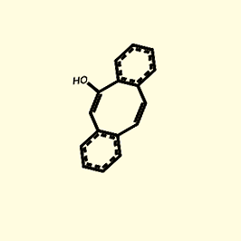 O/C1=C/c2ccccc2/C=C\c2ccccc21